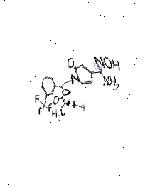 CNC(=O)OC(Cn1ccc(/C(N)=N/O)cc1=O)c1cccc(C(F)(F)F)c1